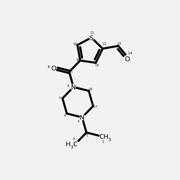 CC(C)N1CCN(C(=O)c2csc(C=O)c2)CC1